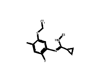 CCN/C(=N\c1cc(SCC(F)(F)F)c(C)cc1F)C1CC1